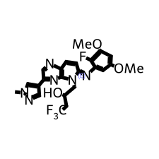 COc1cc(/N=c2\ccc3ncc(-c4cnn(C)c4)nc3n2CC(O)CC(F)(F)F)c(F)c(OC)c1